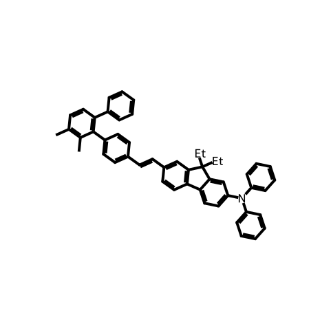 CCC1(CC)c2cc(/C=C/c3ccc(-c4c(-c5ccccc5)ccc(C)c4C)cc3)ccc2-c2ccc(N(c3ccccc3)c3ccccc3)cc21